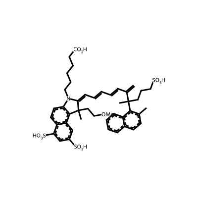 C=C(/C=C/C=C/C=C1/N(CCCCCC(=O)O)c2ccc3c(S(=O)(=O)O)cc(S(=O)(=O)O)cc3c2C1(C)CCOC)C(C)(CCCS(=O)(=O)O)c1c(C)ccc2ccccc12